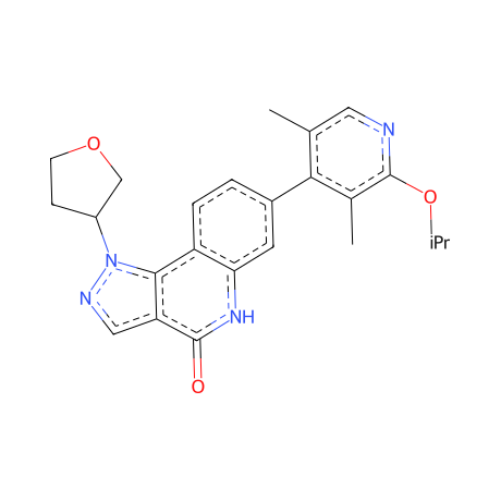 Cc1cnc(OC(C)C)c(C)c1-c1ccc2c(c1)[nH]c(=O)c1cnn(C3CCOC3)c12